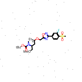 CC[C@H](CC(COC)N(C)C(=O)OC(C)(C)C)OCc1nc(-c2ccc(S(C)(=O)=O)c(F)c2)no1